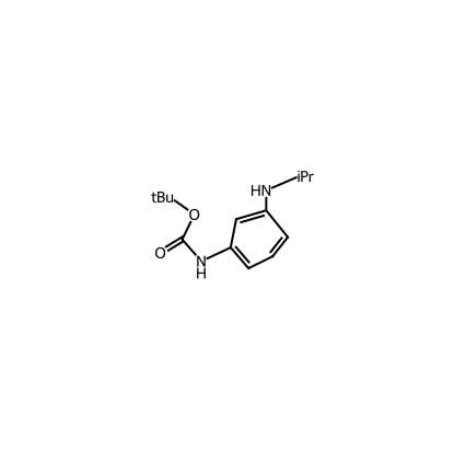 CC(C)Nc1cccc(NC(=O)OC(C)(C)C)c1